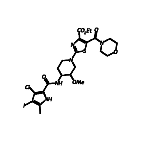 CCOC(=O)c1nc(N2CCC(NC(=O)c3[nH]c(C)c(I)c3Cl)C(OC)C2)sc1C(=O)N1CCOCC1